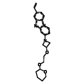 C=Cc1ccc2c(c1)nc1cc(N3CC(OCCOC4CCCCO4)C3)ccn12